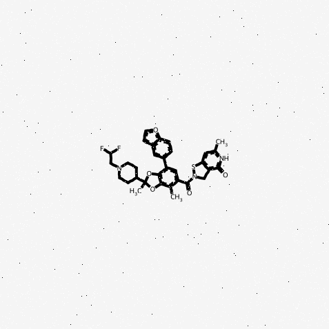 Cc1cc2c(c(=O)[nH]1)CN(C(=O)c1cc(-c3ccc4occc4c3)c3c(c1C)OC(C)(C1CCN(CC(F)F)CC1)O3)S2